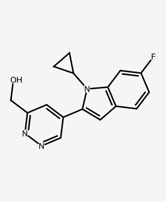 OCc1cc(-c2cc3ccc(F)cc3n2C2CC2)cnn1